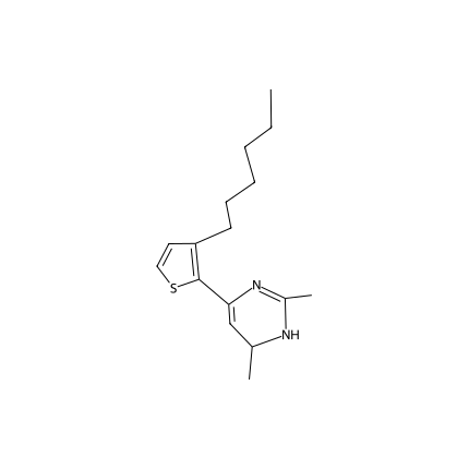 CCCCCCc1ccsc1C1=CC(C)NC(C)=N1